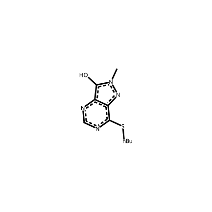 CCCCSc1ncnc2c(O)n(C)nc12